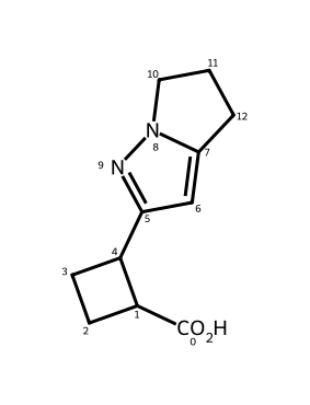 O=C(O)C1CCC1c1cc2n(n1)CCC2